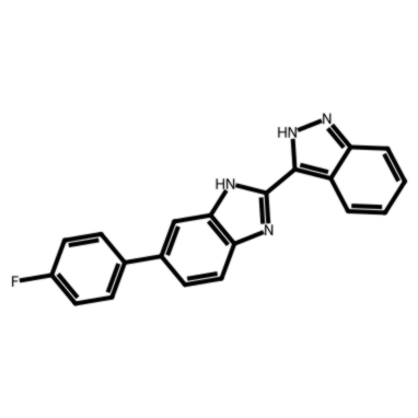 Fc1ccc(-c2ccc3nc(-c4[nH]nc5ccccc45)[nH]c3c2)cc1